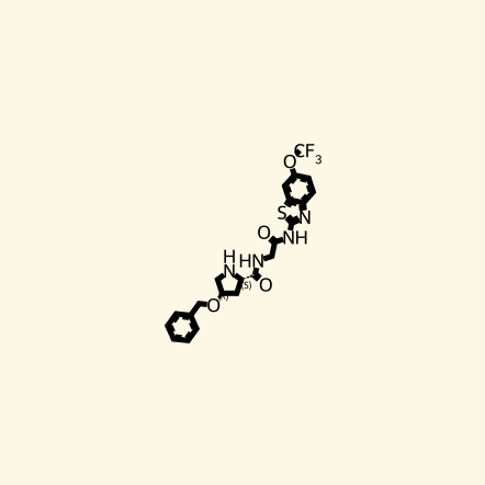 O=C(CNC(=O)[C@@H]1C[C@@H](OCc2ccccc2)CN1)Nc1nc2ccc(OC(F)(F)F)cc2s1